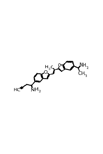 C#CCC(N)c1ccc2oc(/C=C(\C)c3cc4cc(C(C)N)ccc4o3)cc2c1